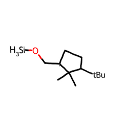 CC(C)(C)C1CC[C](CO[SiH3])C1(C)C